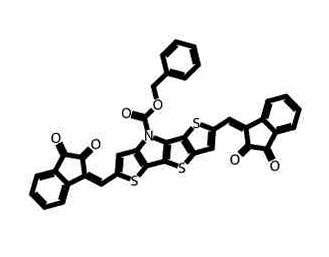 O=C1C(=O)c2ccccc2/C1=C/c1cc2c(s1)c1sc3cc(/C=C4\C(=O)C(=O)c5ccccc54)sc3c1n2C(=O)OCc1ccccc1